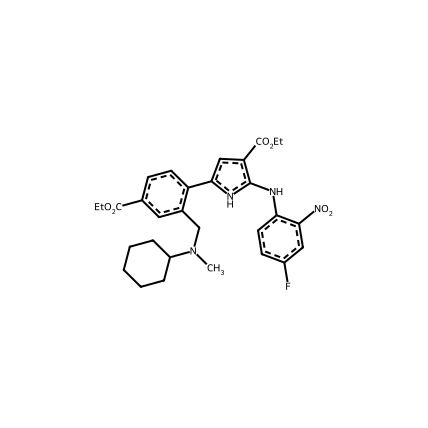 CCOC(=O)c1ccc(-c2cc(C(=O)OCC)c(Nc3ccc(F)cc3[N+](=O)[O-])[nH]2)c(CN(C)C2CCCCC2)c1